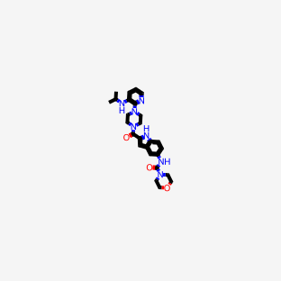 CC(C)Nc1cccnc1N1CCN(C(=O)c2cc3cc(NC(=O)N4CCOCC4)ccc3[nH]2)CC1